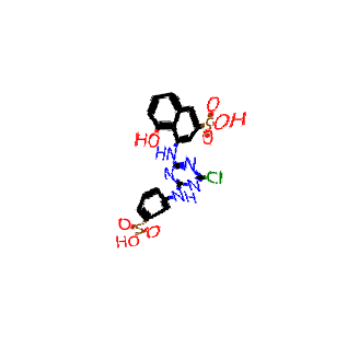 O=S(=O)(O)c1cccc(Nc2nc(Cl)nc(Nc3cc(S(=O)(=O)O)cc4cccc(O)c34)n2)c1